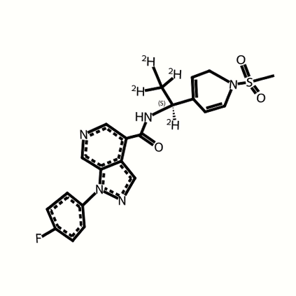 [2H]C([2H])([2H])[C@]([2H])(NC(=O)c1cncc2c1cnn2-c1ccc(F)cc1)C1=CCN(S(C)(=O)=O)C=C1